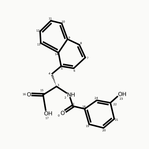 O=C(N[C@@H](Cc1cccc2ccccc12)C(=O)O)c1cccc(O)c1